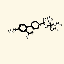 CC(C)(C)OC(=O)N1CC=C(c2ccc(N)cc2C(F)F)CC1